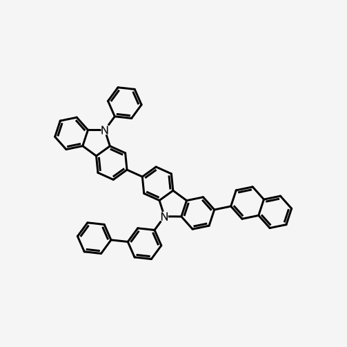 c1ccc(-c2cccc(-n3c4ccc(-c5ccc6ccccc6c5)cc4c4ccc(-c5ccc6c7ccccc7n(-c7ccccc7)c6c5)cc43)c2)cc1